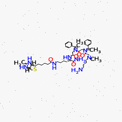 C=C1N[C@H]2CSC(CCCCC(=O)NCCCC[C@H](NC(=O)CN(C(=O)CN(C(=O)CN(C)CCCCN)[C@@H](C)c3ccccc3)[C@@H](C)c3ccccc3)C(N)=O)[C@H]2N1